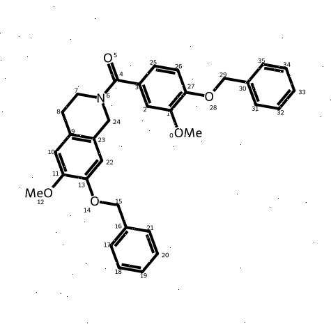 COc1cc(C(=O)N2CCc3cc(OC)c(OCc4ccccc4)cc3C2)ccc1OCc1ccccc1